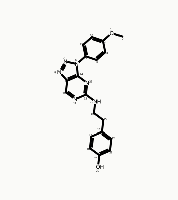 COc1ccc(-n2nnc3cnc(NCCc4ccc(O)cc4)nc32)cc1